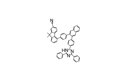 CC1(C)c2cc(C#N)ccc2-c2c(-c3ccc(-c4cc5ccccc5cc4-c4ccc(C5N=C(c6ccccc6)N=C(c6ccccc6)N5)cc4)cc3)cccc21